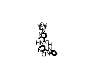 Cc1nc(N2C[C@@H](C)O[C@@H](C)C2)ccc1C(=O)Nc1cnc(Cl)c(-c2nc3ccccc3[nH]2)c1